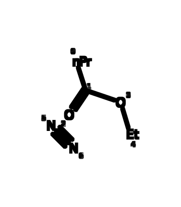 CCCC(=O)OCC.N#N